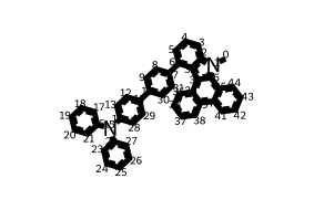 Cn1c2cccc(-c3ccc(-c4ccc(N(c5ccccc5)c5ccccc5)cc4)cc3)c2c2c3ccccc3c3ccccc3c21